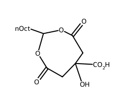 CCCCCCCCC1OC(=O)CC(O)(C(=O)O)CC(=O)O1